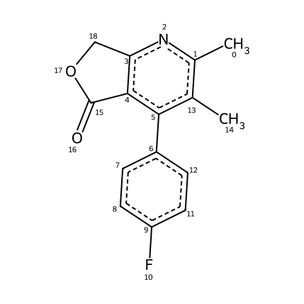 Cc1nc2c(c(-c3ccc(F)cc3)c1C)C(=O)OC2